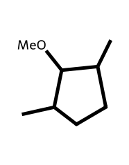 COC1C(C)CCC1C